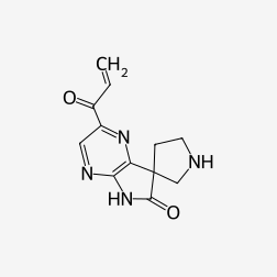 C=CC(=O)c1cnc2c(n1)C1(CCNC1)C(=O)N2